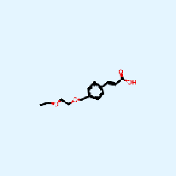 CCOC[CH]OCc1ccc(C=CC(=O)O)cc1